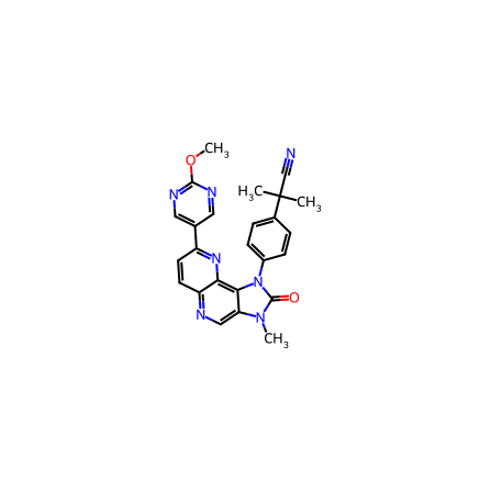 COc1ncc(-c2ccc3ncc4c(c3n2)n(-c2ccc(C(C)(C)C#N)cc2)c(=O)n4C)cn1